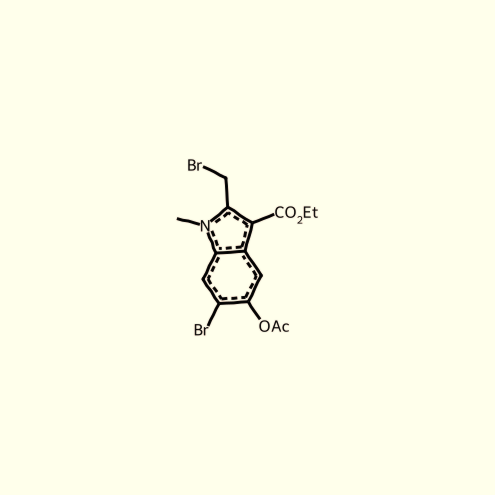 CCOC(=O)c1c(CBr)n(C)c2cc(Br)c(OC(C)=O)cc12